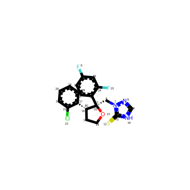 Fc1ccc([C@@]2(Cn3nc[nH]c3=S)OCC[C@@H]2c2ccccc2Cl)c(F)c1